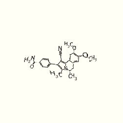 COc1cc2c(cc1OC)-c1c(C#N)c(-c3ccc(C(N)=O)cc3)c(C)n1C(C)C2